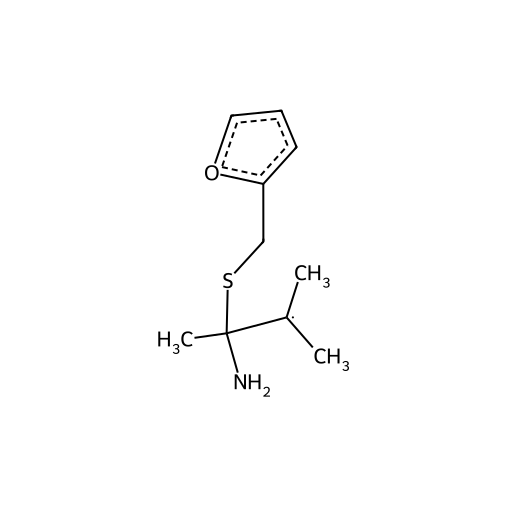 C[C](C)C(C)(N)SCc1ccco1